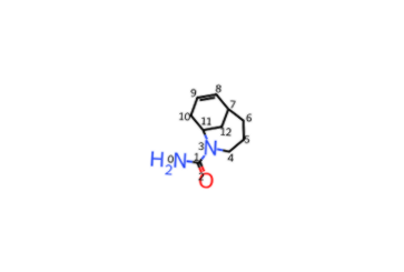 NC(=O)N1CCCC2C=CCC1C2